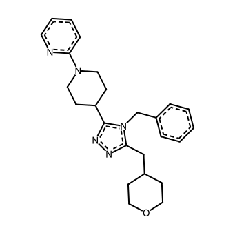 c1ccc(Cn2c(CC3CCOCC3)nnc2C2CCN(c3ccccn3)CC2)cc1